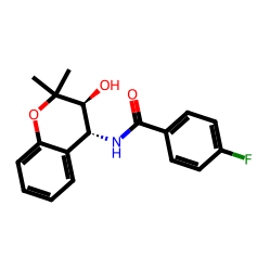 CC1(C)Oc2ccccc2[C@@H](NC(=O)c2ccc(F)cc2)[C@@H]1O